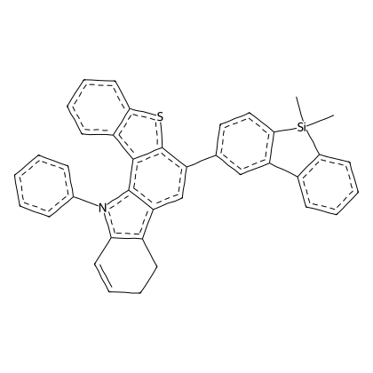 C[Si]1(C)c2ccccc2-c2cc(-c3cc4c5c(n(-c6ccccc6)c4c4c3sc3ccccc34)C=CCC5)ccc21